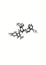 Cc1ccnc2c1ccn2[C@@H]1C[C@H](Oc2cc(C(F)F)c(F)c3c2CNCC3)[C@@H](O)[C@H]1O